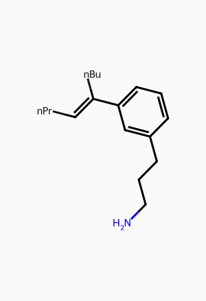 CCCC=C(CCCC)c1cccc(CCCN)c1